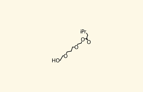 CC(C)CC(=O)OCCOCCCOCCO